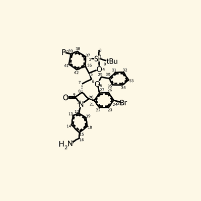 CC(C)(C)[Si](C)(C)O[C@@H](CC[C@H]1C(=O)N(c2ccc(CN)cc2)[C@@H]1c1ccc(Br)cc1OCc1ccccc1)c1ccc(F)cc1